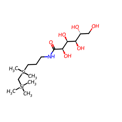 C[Si](C)(C)C[Si](C)(C)CCCNC(=O)[C@H](O)[C@@H](O)[C@H](O)[C@H](O)CO